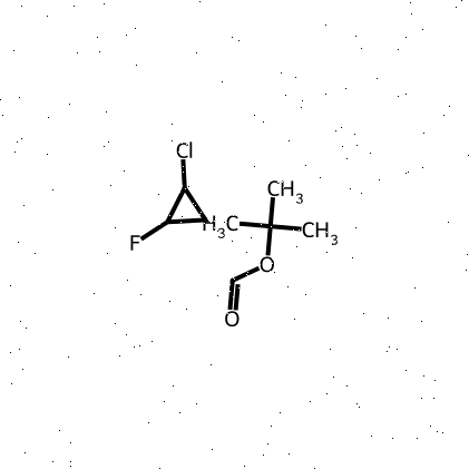 CC(C)(C)OC=O.FC1CC1Cl